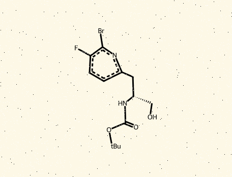 CC(C)(C)OC(=O)N[C@@H](CO)Cc1ccc(F)c(Br)n1